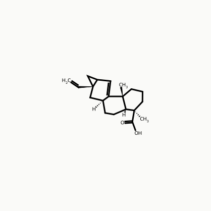 C=C[C@@]12CC1C=C1[C@@H](CC[C@@H]3[C@](C)(C(=O)O)CCC[C@@]13C)C2